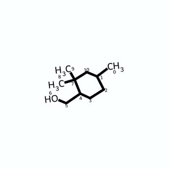 CC1CCC(CO)C(C)(C)C1